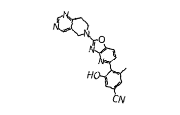 Cc1cc(C#N)cc(O)c1-c1ccc2oc(N3CCc4ncncc4C3)nc2n1